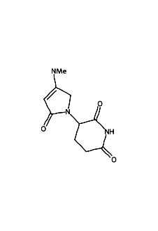 CNC1=CC(=O)N(C2CCC(=O)NC2=O)C1